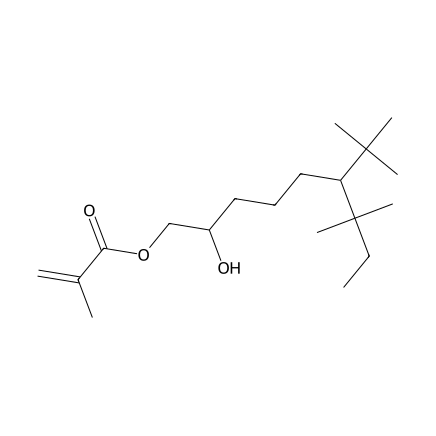 C=C(C)C(=O)OCC(O)CCCC(C(C)(C)C)C(C)(C)CC